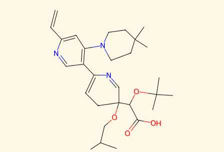 C=Cc1cc(N2CCC(C)(C)CC2)c(C2=CCC(OCC(C)C)(C(OC(C)(C)C)C(=O)O)C=N2)cn1